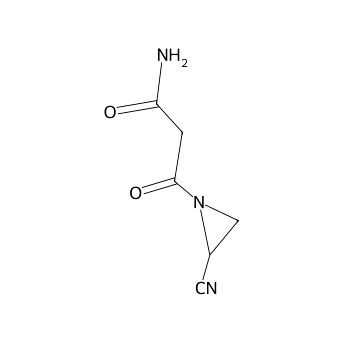 N#CC1CN1C(=O)CC(N)=O